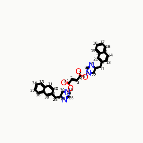 O=C(/C=C/C(=O)ON1C=NC(Cc2ccc3ccccc3c2)C1)ON1C=NC(Cc2ccc3ccccc3c2)C1